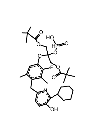 Cc1cc(OC(COC(=O)C(C)(C)C)(COC(=O)C(C)(C)C)O[PH](=O)O)c(F)c(C)c1Cc1ccc(O)c(C2CCCCC2)n1